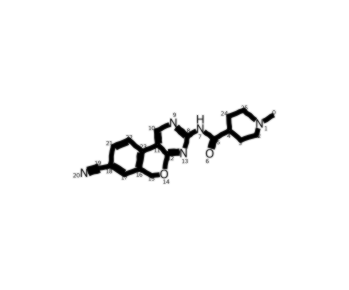 CN1CCC(C(=O)Nc2ncc3c(n2)OCc2cc(C#N)ccc2-3)CC1